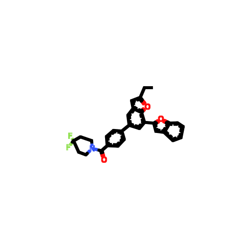 CCc1cc2cc(-c3ccc(C(=O)N4CCC(F)(F)CC4)cc3)cc(-c3cc4ccccc4o3)c2o1